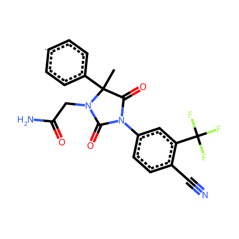 CC1(c2cc[c]cc2)C(=O)N(c2ccc(C#N)c(C(F)(F)F)c2)C(=O)N1CC(N)=O